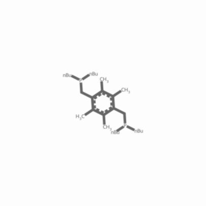 CCCCP(CCCC)Cc1c(C)c(C)c(CP(CCCC)CCCC)c(C)c1C